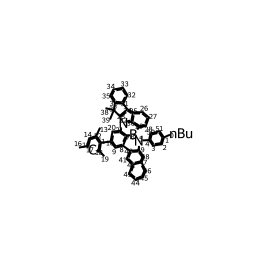 CCCCc1ccc(N2B3c4c(cc(-c5c(C)cc(C)cc5C)cc4-n4c5c(c6cccc3c64)-c3ccccc3C5(C)C)-c3cc4ccccc4cc32)cc1